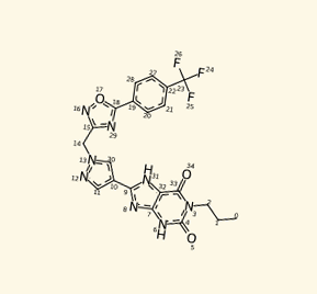 CCCn1c(=O)[nH]c2nc(-c3cnn(Cc4noc(-c5ccc(C(F)(F)F)cc5)n4)c3)[nH]c2c1=O